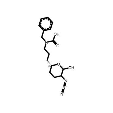 [N-]=[N+]=NC1CC[C@H](CCCN(Cc2ccccc2)C(=O)O)OC1O